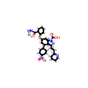 CNC(=O)c1ccccc1Sc1cc(-c2ccc([N+](=O)[O-])cc2)c2c(/C=C/c3ccccn3)nn(C(=O)O)c2c1